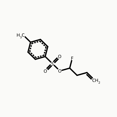 C=CCC(F)OS(=O)(=O)c1ccc(C)cc1